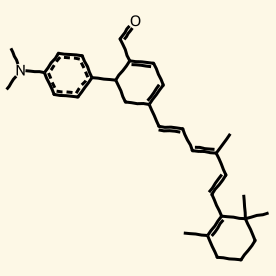 CC(C=CC1=C(C)CCCC1(C)C)=CC=CC1=CC=C(C=O)C(c2ccc(N(C)C)cc2)C1